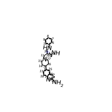 N=N/C(=C\Nc1ccccc1)CN1CCC(c2ccc3nc(N)sc3c2)CC1